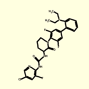 CCP(CC)c1ccccc1-c1cc(F)c(N2CCCC(NC(=O)Nc3ncc(Cl)cc3F)C2=O)c(F)c1